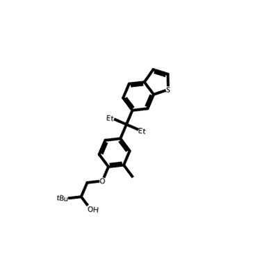 CCC(CC)(c1ccc(OCC(O)C(C)(C)C)c(C)c1)c1ccc2ccsc2c1